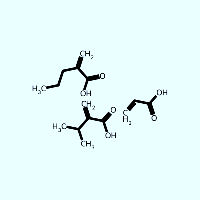 C=C(C(=O)O)C(C)C.C=C(CCC)C(=O)O.C=CC(=O)O